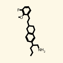 CCCC(CN)c1ccc2c(c1)CCC(CCc1cccc(F)c1OC)C2